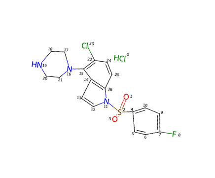 Cl.O=S(=O)(c1ccc(F)cc1)n1ccc2c(N3CCNCC3)c(Cl)ccc21